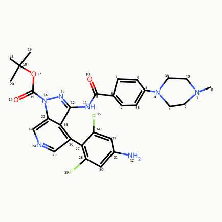 CN1CCN(c2ccc(C(=O)Nc3nn(C(=O)OC(C)(C)C)c4cncc(-c5c(F)cc(N)cc5F)c34)cc2)CC1